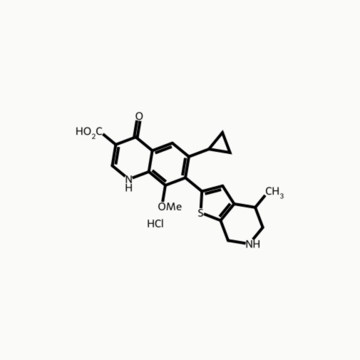 COc1c(-c2cc3c(s2)CNCC3C)c(C2CC2)cc2c(=O)c(C(=O)O)c[nH]c12.Cl